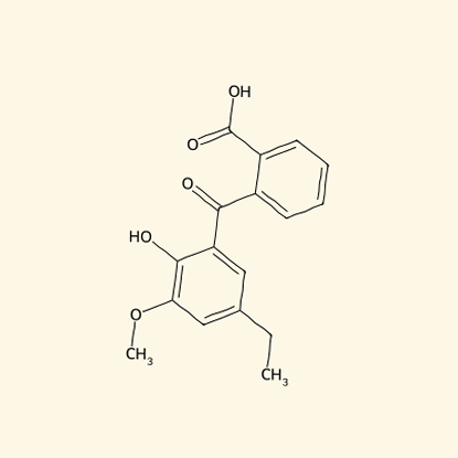 CCc1cc(OC)c(O)c(C(=O)c2ccccc2C(=O)O)c1